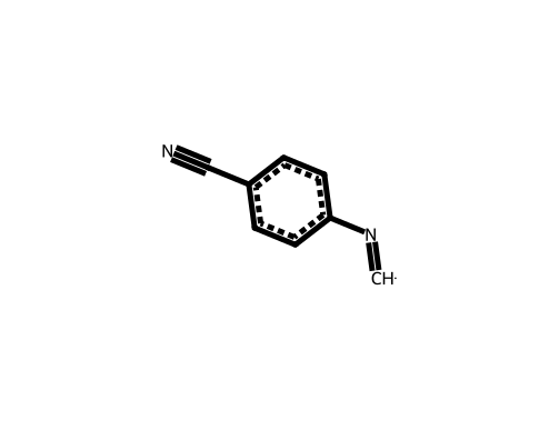 [CH]=Nc1ccc(C#N)cc1